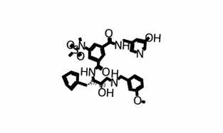 COc1cccc(CNC[C@@H](O)[C@H](Cc2ccccc2)NC(=O)c2cc(C(=O)NCc3cncc(O)c3)cc(N(C)S(C)(=O)=O)c2)c1